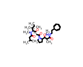 CC[C@H](C)[C@@H]([C@@H](CC(=O)N1CCCC1C(OC)[C@@H](C)C(=O)NCCC1C=CC=CC=C1)OC)N(C)C(=O)CC(C)C